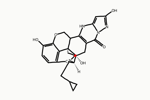 O=c1c2c([nH]c3cc(O)nn13)C1COc3c(O)ccc4c3[C@@]13CCN(CC1CC1)[C@H](C4)[C@]3(O)C2